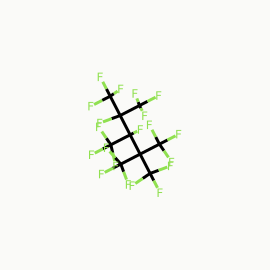 FC(F)(F)C(F)(C(F)(F)F)C(F)(C(F)(F)F)C(C(F)(F)F)(C(F)(F)F)C(F)(F)F